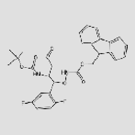 CC(C)(C)OC(=O)NC(CC=O)C(ONC(=O)OCC1c2ccccc2-c2ccccc21)c1cc(F)ccc1F